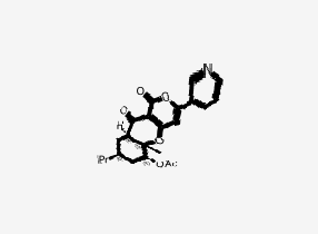 CC(=O)O[C@H]1C[C@@H](C(C)C)C[C@H]2C(=O)c3c(cc(-c4cccnc4)oc3=O)O[C@]12C